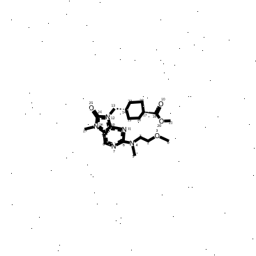 COCCN(C)c1ncc2c(n1)n(C[C@H]1CC[C@H](C(=O)OC)CC1)c(=O)n2C